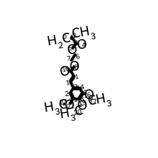 C=C(C)C(=O)OCCOC(=O)C=Cc1cc(OC)c(OC)c(OC)c1